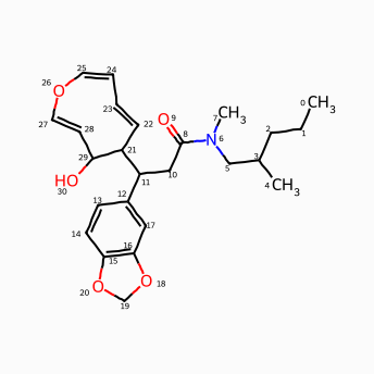 CCCC(C)CN(C)C(=O)CC(c1ccc2c(c1)OCO2)C1/C=C/C=C\O/C=C/C1O